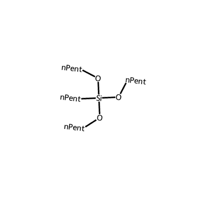 CCCCCO[Si](CCCCC)(OCCCCC)OCCCCC